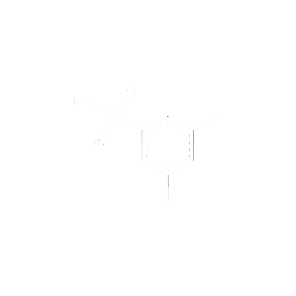 CS(=N)(=O)c1cc(F)cc(F)c1